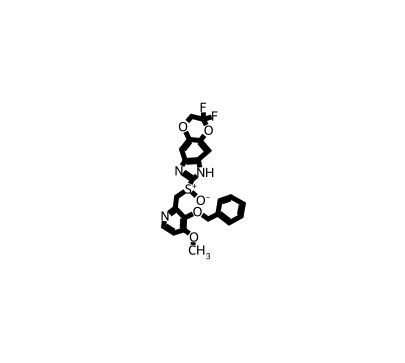 COc1ccnc(C[S+]([O-])c2nc3cc4c(cc3[nH]2)OC(F)(F)CO4)c1OCc1ccccc1